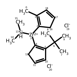 CC1=[C]([Zr+2]([C]2=C(C(C)(C)C)C=CC2)[SiH](C)C)CC=C1.[Cl-].[Cl-]